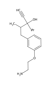 C#CC(O)(C(C)C)C(C)Cc1cccc(OCCN)c1